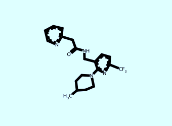 CC1CCN(c2nc(C(F)(F)F)ccc2CNC(=O)Cc2ccccn2)CC1